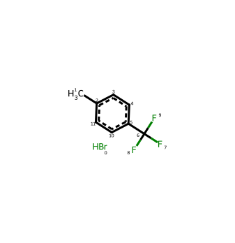 Br.Cc1ccc(C(F)(F)F)cc1